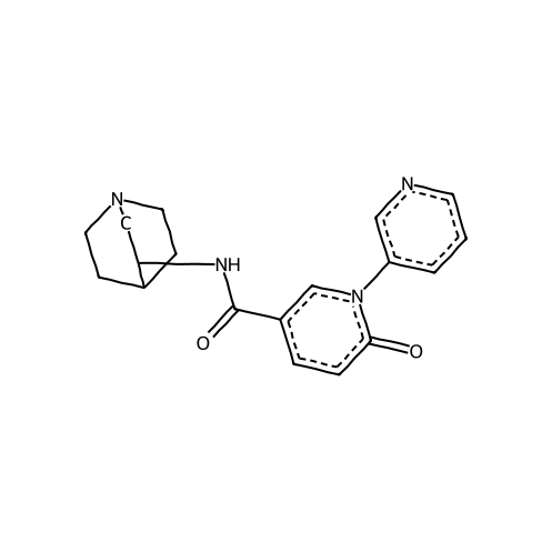 O=C(NC1CN2CCC1CC2)c1ccc(=O)n(-c2cccnc2)c1